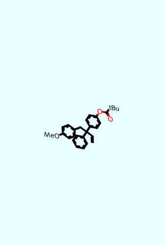 C=CC(Cc1ccc(OC)cc1)(c1ccccc1)c1ccc(OC(=O)C(C)(C)C)cc1